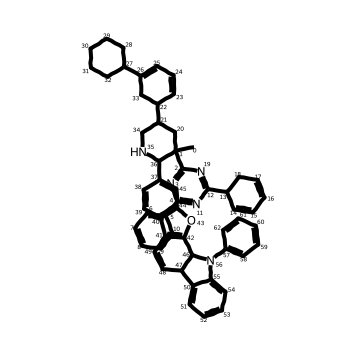 CC1(c2nc(-c3ccccc3)nc(C3C=CC=CC3)n2)CC(C2C=CC=C(C3CCCCC3)C2)CNC1c1ccc2c3c(oc2c1)C1C(C=C3)c2ccccc2N1c1ccccc1